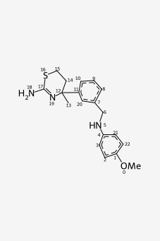 COc1ccc(NCc2cccc(C3(C)CCSC(N)=N3)c2)cc1